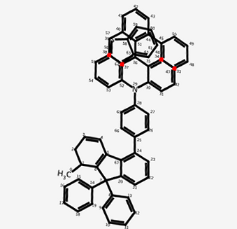 CC1CC=CC2=C1C(c1ccccc1)(c1ccccc1)c1cccc(-c3ccc(N(c4ccccc4-c4cccc5cccc(-c6ccccc6)c45)c4cccc5sc6ccccc6c45)cc3)c12